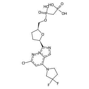 O=P(O)(O)CP(=O)(O)OC[C@@H]1CC[C@H](c2ncc3c(N4CCC(F)(F)C4)cc(Cl)nn23)O1